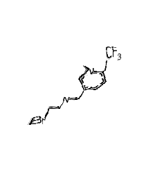 FC(F)(F)c1ccc(/C=N/C=C/Br)cn1